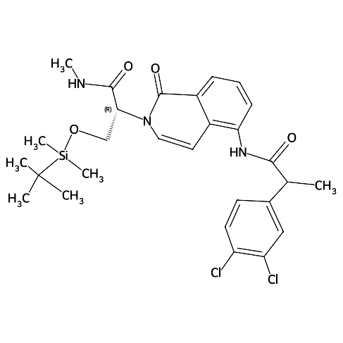 CNC(=O)[C@@H](CO[Si](C)(C)C(C)(C)C)n1ccc2c(NC(=O)C(C)c3ccc(Cl)c(Cl)c3)cccc2c1=O